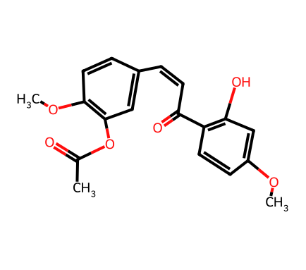 COc1ccc(C(=O)/C=C\c2ccc(OC)c(OC(C)=O)c2)c(O)c1